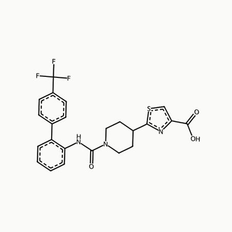 O=C(O)c1csc(C2CCN(C(=O)Nc3ccccc3-c3ccc(C(F)(F)F)cc3)CC2)n1